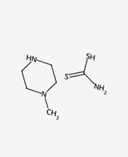 CN1CCNCC1.NC(=S)S